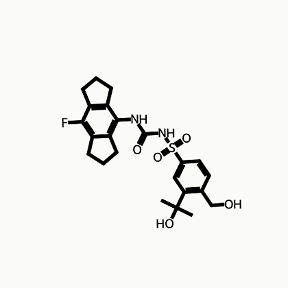 CC(C)(O)c1cc(S(=O)(=O)NC(=O)Nc2c3c(c(F)c4c2CCC4)CCC3)ccc1CO